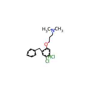 CN(C)CCCOc1ccc(Cl)cc1Cc1ccccc1.Cl